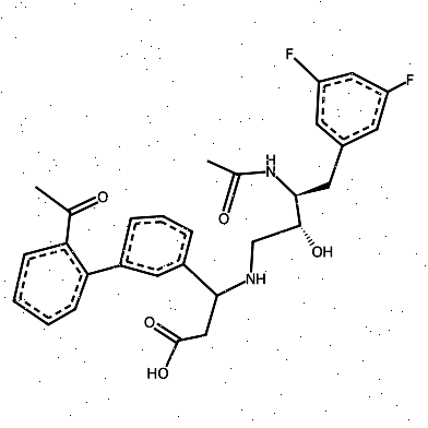 CC(=O)N[C@@H](Cc1cc(F)cc(F)c1)[C@H](O)CNC(CC(=O)O)c1cccc(-c2ccccc2C(C)=O)c1